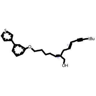 CC(C)(C)C#C/C=C/C/C(=C\CCCCOc1cccc(-c2ccsc2)c1)CO